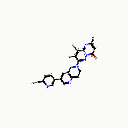 COc1ccc(-c2cnc3c(c2)CN(c2nn4c(=O)cc(C)nc4c(C)c2C)CC3)cn1